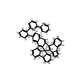 c1ccc(-c2cccc(-c3ccccc3-c3ccc4cc5c(cc4c3)C3(c4ccccc4-c4ccccc43)c3c-5c4ccccc4c4ccccc34)n2)nc1